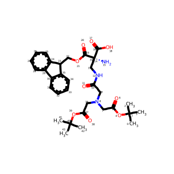 CC(C)(C)OC(=O)CN(CC(=O)NC[C@](N)(C(=O)O)C(=O)OCC1c2ccccc2-c2ccccc21)CC(=O)OC(C)(C)C